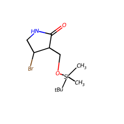 CC(C)(C)[Si](C)(C)OCC1C(=O)NCC1Br